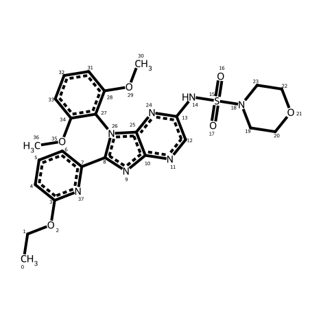 CCOc1cccc(-c2nc3ncc(NS(=O)(=O)N4CCOCC4)nc3n2-c2c(OC)cccc2OC)n1